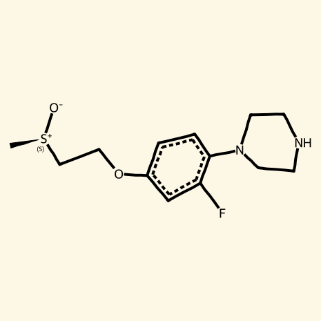 C[S@@+]([O-])CCOc1ccc(N2CCNCC2)c(F)c1